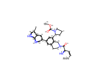 CN/C=C\C(=N)C(=O)N1CCc2cc(-c3cnc4[nH]cc(C)c4c3)cc([C@@H]3CCCN3C(=O)OC(C)(C)C)c2C1